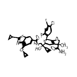 C[C@]1(C(N)=O)COc2c1cc([C@@](O)(CNC(=O)c1cc(OC3CC3)c3nc(C4CC4)sc3c1)C1CC1)nc2-c1cc(Cl)c(F)cc1F